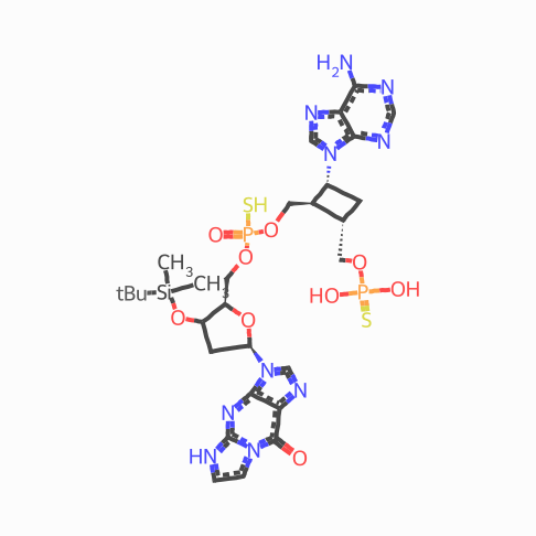 CC(C)(C)[Si](C)(C)OC1C[C@H](n2cnc3c(=O)n4cc[nH]c4nc32)O[C@@H]1COP(=O)(S)OC[C@@H]1[C@@H](COP(O)(O)=S)C[C@H]1n1cnc2c(N)ncnc21